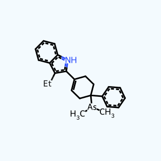 [CH2]Cc1c(C2=CCC(c3ccccc3)([As](C)C)CC2)[nH]c2ccccc12